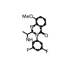 COc1cccc2c(=O)n(-c3cc(F)cc(F)c3)c(C(C)N)nc12